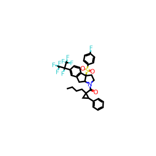 CCCCC1(C(=O)N2CCC3(S(=O)(=O)c4ccc(F)cc4)c4ccc(C(F)(C(F)(F)F)C(F)(F)F)cc4CC23)CC1c1ccccc1